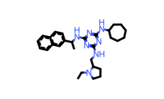 CCN1CCCC1CNc1nc(NC2CCCCCC2)nc(NC(C)c2ccc3ccccc3c2)n1